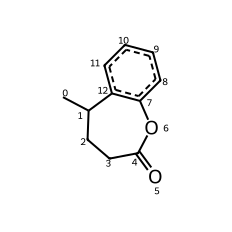 CC1CCC(=O)Oc2ccccc21